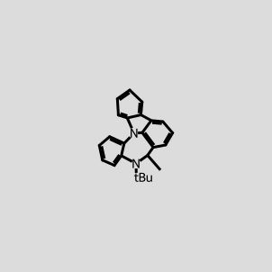 CC1c2cccc3c4ccccc4n(c23)-c2ccccc2N1C(C)(C)C